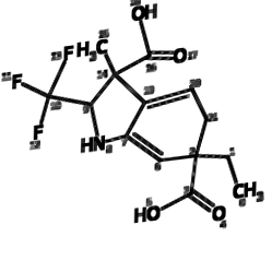 CCC1(C(=O)O)C=C2NC(C(F)(F)F)C(C)(C(=O)O)C2=CC1